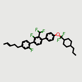 C/C=C/CCc1ccc(-c2ccc(-c3ccc(OC(F)(F)C4CCC(CCC)CC4)cc3)c(C(F)F)c2F)c(F)c1